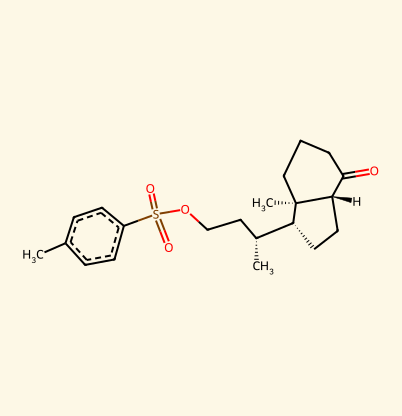 Cc1ccc(S(=O)(=O)OCC[C@@H](C)[C@H]2CC[C@H]3C(=O)CCC[C@]23C)cc1